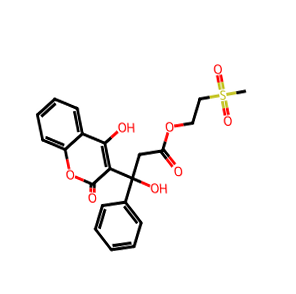 CS(=O)(=O)CCOC(=O)CC(O)(c1ccccc1)c1c(O)c2ccccc2oc1=O